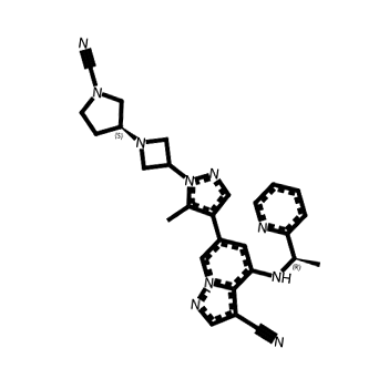 Cc1c(-c2cc(N[C@H](C)c3ccccn3)c3c(C#N)cnn3c2)cnn1C1CN([C@H]2CCN(C#N)C2)C1